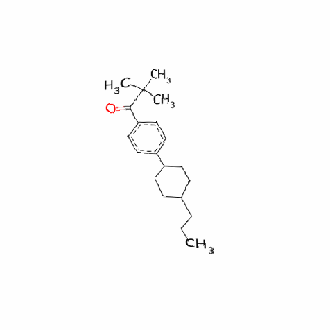 CCCC1CCC(c2ccc(C(=O)C(C)(C)C)cc2)CC1